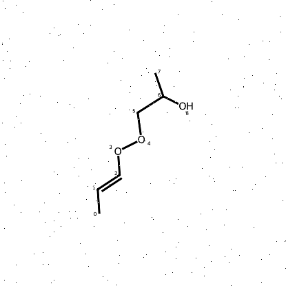 CC=COOCC(C)O